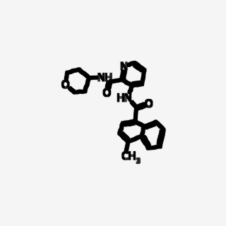 Cc1ccc(C(=O)Nc2cccnc2C(=O)NC2CCOCC2)c2ccccc12